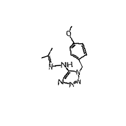 COc1ccc(Cn2nnnc2NN=C(C)C)cc1